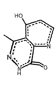 Cc1n[nH]c(=O)c2nccc(O)c12